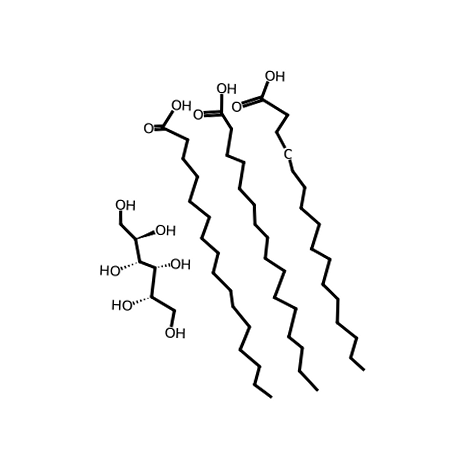 CCCCCCCCCCCCCCCC(=O)O.CCCCCCCCCCCCCCCC(=O)O.CCCCCCCCCCCCCCCC(=O)O.OC[C@@H](O)[C@@H](O)[C@H](O)[C@@H](O)CO